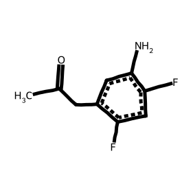 CC(=O)Cc1cc(N)c(F)cc1F